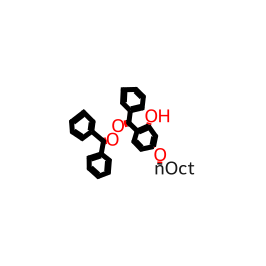 CCCCCCCCOc1ccc(C(=O)c2ccccc2)c(O)c1.O=C(c1ccccc1)c1ccccc1